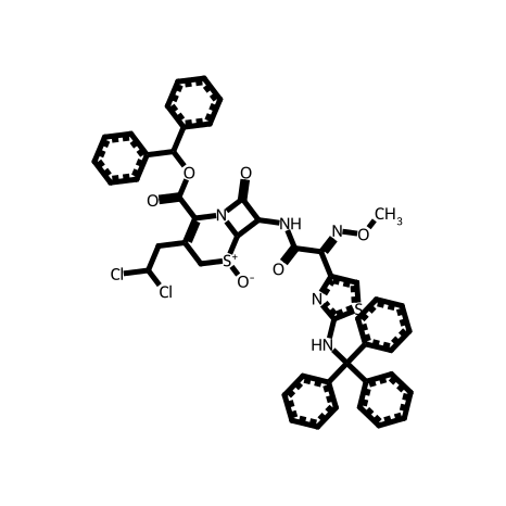 CON=C(C(=O)NC1C(=O)N2C(C(=O)OC(c3ccccc3)c3ccccc3)=C(CC(Cl)Cl)C[S+]([O-])C12)c1csc(NC(c2ccccc2)(c2ccccc2)c2ccccc2)n1